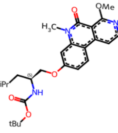 COc1nccc2c1c(=O)n(C)c1cc(OC[C@H](CC(C)C)NC(=O)OC(C)(C)C)ccc21